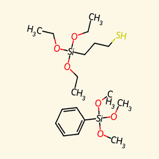 CCO[Si](CCCS)(OCC)OCC.CO[Si](OC)(OC)c1ccccc1